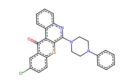 O=c1c2cc(Cl)ccc2sc2c(N3CCN(c4ccccc4)CC3)nc3ccccc3c12